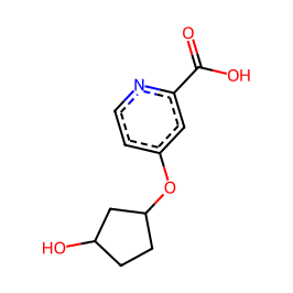 O=C(O)c1cc(OC2CCC(O)C2)ccn1